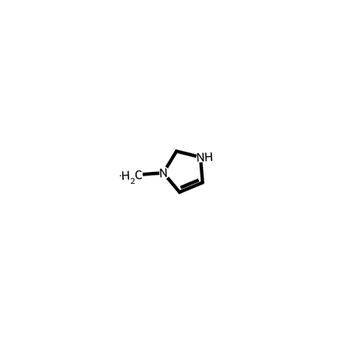 [CH2]N1C=CNC1